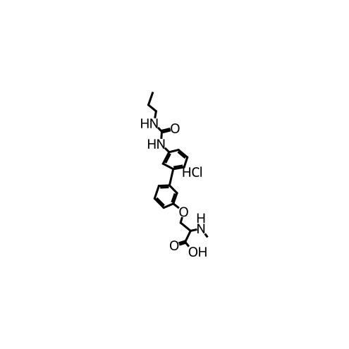 CCCNC(=O)Nc1cccc(-c2cccc(OCC(NC)C(=O)O)c2)c1.Cl